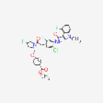 COC(=O)[C@H]1CC[C@H](OC[C@@H]2C[C@H](F)CN2C(=O)Cc2cc(Cl)c(NC(=O)c3cn(C)c4cccc(F)c34)cc2F)CC1